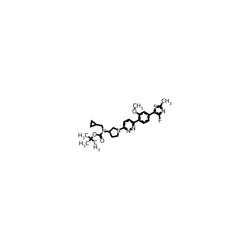 COc1cc(-c2sc(C)nc2F)ccc1-c1ccc(N2CCC(N(CC3CC3)C(=O)OC(C)(C)C)C2)nn1